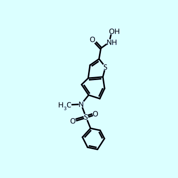 CN(c1ccc2sc(C(=O)NO)cc2c1)S(=O)(=O)c1ccccc1